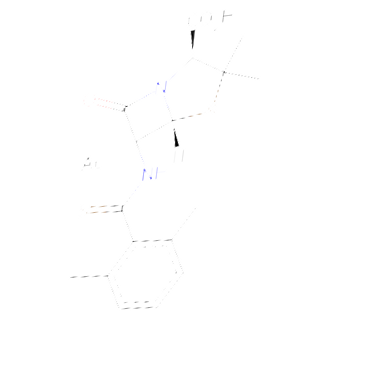 CC(=O)[C@]1(NC(=S)c2c(C)cccc2C)C(=O)N2[C@@H](C(=O)O)C(C)(C)S[C@@H]21